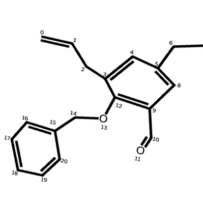 C=CCc1cc(CC)cc(C=O)c1OCc1ccccc1